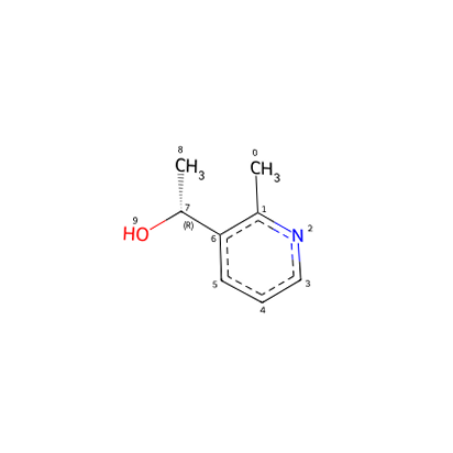 Cc1ncccc1[C@@H](C)O